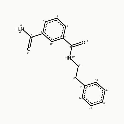 NC(=O)c1cccc(C(=O)NCCc2ccccc2)c1